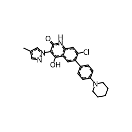 Cc1cnn(-c2c(O)c3cc(-c4ccc(N5CCCCC5)cc4)c(Cl)cc3[nH]c2=O)c1